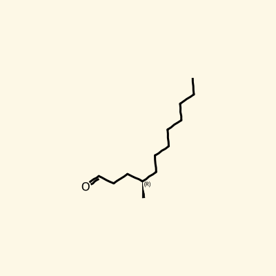 CCCCCCCC[C@@H](C)CCC=O